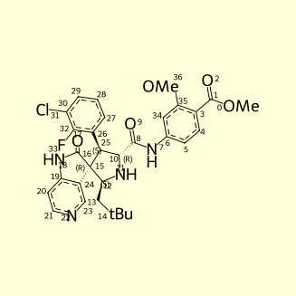 COC(=O)c1ccc(NC(=O)[C@@H]2N[C@@H](CC(C)(C)C)[C@@]3(C(=O)Nc4ccncc43)[C@H]2c2cccc(Cl)c2F)cc1OC